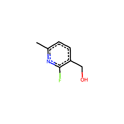 Cc1ccc(CO)c(F)n1